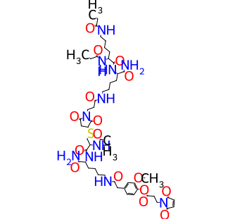 CCC(=O)NCCCCC(NC(=O)CC)C(=O)NC(CCCCNC(=O)CCN1C(=O)CC(SCC(NC(C)=O)C(=O)NC(CCCCNC(=O)Cc2ccc(OC(=O)CCN3C(=O)C=CC3=O)c(OC)c2)C(N)=O)C1=O)C(N)=O